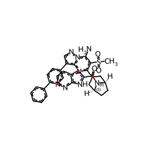 CS(=O)(=O)c1c(C2C[C@H]3CC[C@@H](C2)N3C(=O)c2cc3cccnc3[nH]2)nc2c(-c3ccc(-c4ccccc4)nc3)cnn2c1N